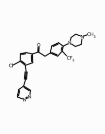 CN1CCN(c2ccc(CC(=O)c3ccc(Cl)c(C#Cc4ccnnc4)c3)cc2C(F)(F)F)CC1